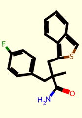 CC(Cc1ccc(F)cc1)(Cc1scc2ccccc12)C(N)=O